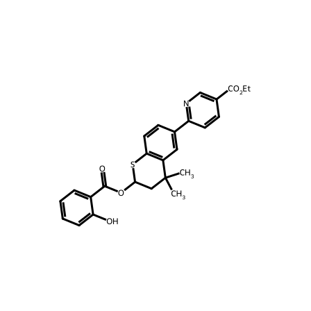 CCOC(=O)c1ccc(-c2ccc3c(c2)C(C)(C)CC(OC(=O)c2ccccc2O)S3)nc1